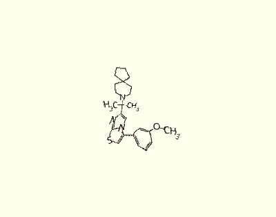 COc1cccc(-c2csc3nc(C(C)(C)N4CCC5(CCCC5)CC4)cn23)c1